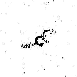 CC(=O)Nc1cnn(CC(F)(F)F)c1